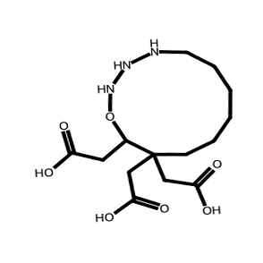 O=C(O)CC1ONNNCCCCCCC1(CC(=O)O)CC(=O)O